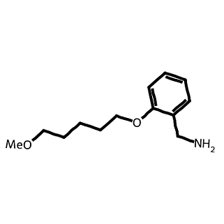 COCCCCCOc1ccccc1CN